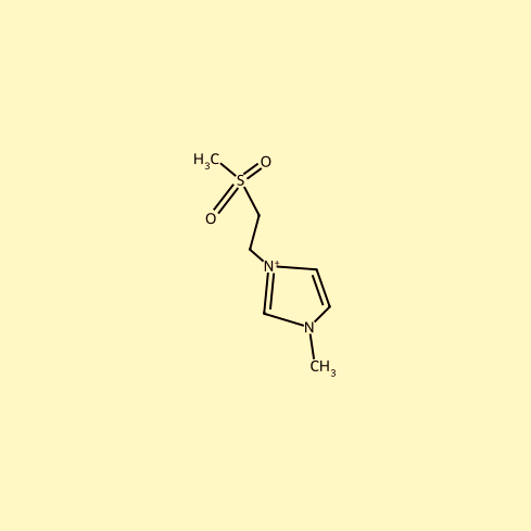 Cn1cc[n+](CCS(C)(=O)=O)c1